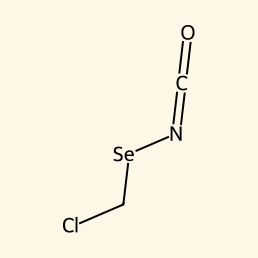 O=C=N[Se]CCl